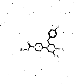 CC1CN(C2CCN(C(=O)OC(C)(C)C)CC2)C(Cc2ccc(Cl)cc2)CN1C